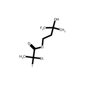 CCC(C)(I)C(=O)OCCC(C)(O)C(F)(F)F